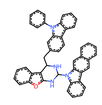 c1ccc(-n2c3ccccc3c3ccc(CC4NC(n5c6ccccc6c6cc7ccccc7cc65)Nc5oc6ccccc6c54)cc32)cc1